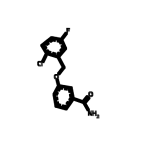 NC(=O)c1cccc(OCc2cc(F)ccc2Cl)c1